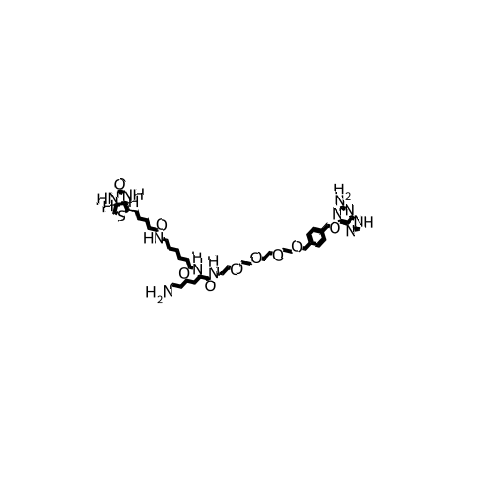 NCCCCC(NC(=O)CCCCCNC(=O)CCCC[C@H]1SC[C@H]2NC(=O)N[C@H]21)C(=O)NCCOCCOCCOCCOCc1ccc(COc2nc(N)nc3[nH]cnc23)cc1